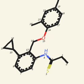 CCC(=S)Nc1cccc(C2CC2)c1COc1ccc(CC)cc1C